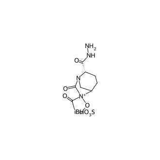 CCC(C)C(=O)[N+]1(OS(=O)(=O)O)C(=O)N2CC1CC[C@H]2C(=O)NN